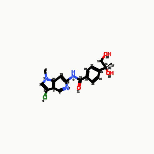 Cn1cc(Cl)c2cnc(NC(=O)c3ccc([C@](C)(O)CO)cc3)cc21